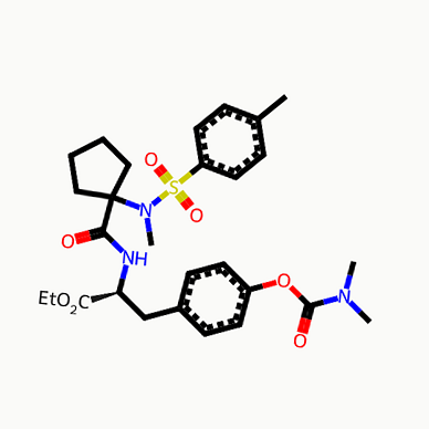 CCOC(=O)[C@H](Cc1ccc(OC(=O)N(C)C)cc1)NC(=O)C1(N(C)S(=O)(=O)c2ccc(C)cc2)CCCC1